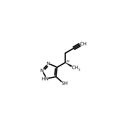 C#CC[C@@H](C)c1nn[nH]c1S